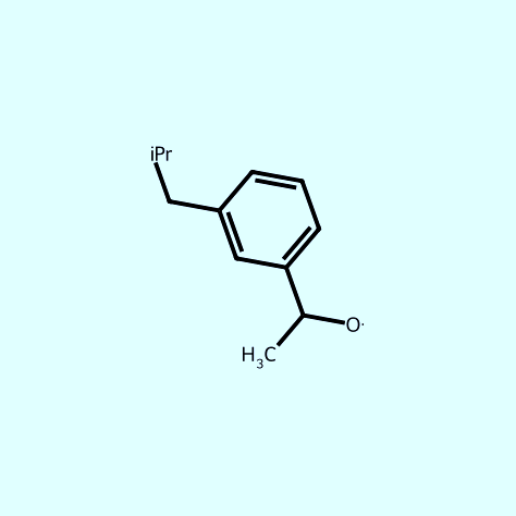 CC(C)Cc1cccc(C(C)[O])c1